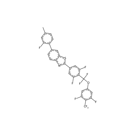 Cc1ccc(-c2ccc3nc(-c4cc(F)c(C(F)(F)Oc5cc(F)c(C(F)(F)F)c(F)c5)c(F)c4)sc3c2)c(F)c1